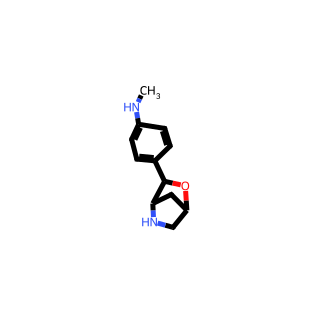 CNc1ccc(C2OC3CNC2C3)cc1